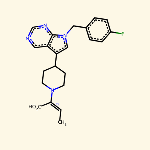 C/C=C(\C(=O)O)N1CCC(c2cn(Cc3ccc(F)cc3)c3ncncc23)CC1